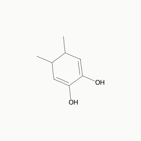 CC1C=C(O)C(O)=CC1C